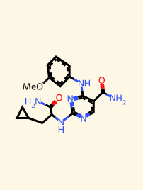 COc1cccc(Nc2nc(NC(CC3CC3)C(N)=O)ncc2C(N)=O)c1